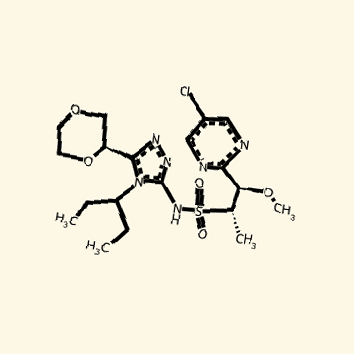 CCC(CC)n1c(NS(=O)(=O)[C@@H](C)[C@H](OC)c2ncc(Cl)cn2)nnc1[C@@H]1COCCO1